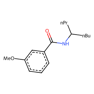 CCCCC(CCC)NC(=O)c1cccc(OC)c1